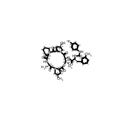 Cc1cccc(C[C@H](NC(=O)Nc2ccc(F)cc2)C(=O)N[C@@H]2C(=O)N3C[C@H](O)C[C@H]3C(=O)N3CCCC[C@H]3C(=O)N[C@@H](C)C(=O)N3C[C@H](C)C[C@H]3C(=O)O[C@H]2C)c1